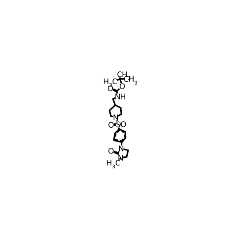 CN1CCN(c2ccc(S(=O)(=O)N3CCC(CNC(=O)OC(C)(C)C)CC3)cc2)C1=O